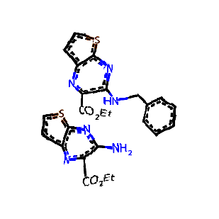 CCOC(=O)c1nc2ccsc2nc1N.CCOC(=O)c1nc2ccsc2nc1NCc1ccccc1